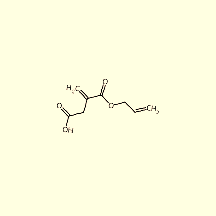 C=CCOC(=O)C(=C)CC(=O)O